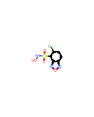 O=S(=O)(NO)c1c(Cl)ccc2nonc12